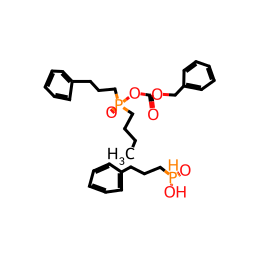 CCCCP(=O)(CCCc1ccccc1)OC(=O)OCc1ccccc1.O=[PH](O)CCCc1ccccc1